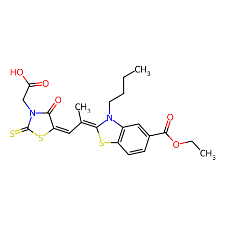 CCCCN1/C(=C(C)/C=C2/SC(=S)N(CC(=O)O)C2=O)Sc2ccc(C(=O)OCC)cc21